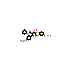 COc1ccc(Sc2c(O)c3c(=O)n(-c4ccccc4)c4cc(OC)ccc4c3oc2=O)cc1